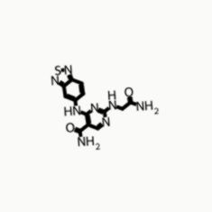 NC(=O)CNc1ncc(C(N)=O)c(Nc2ccc3nsnc3c2)n1